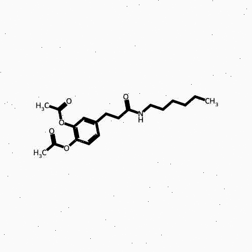 CCCCCCNC(=O)CCc1ccc(OC(C)=O)c(OC(C)=O)c1